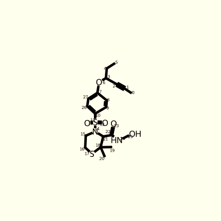 CC#CC(CC)Oc1ccc(S(=O)(=O)N2CCSC(C)(C)C2C(=O)NO)cc1